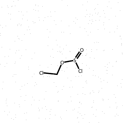 O=S(Cl)OCCl